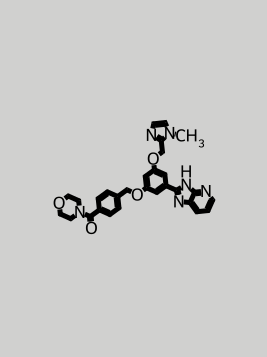 Cn1ccnc1COc1cc(OCc2ccc(C(=O)N3CCOCC3)cc2)cc(-c2nc3cccnc3[nH]2)c1